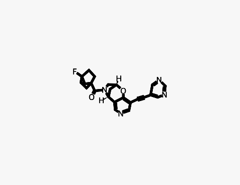 O=C(N1C[C@@H]2C[C@H]1c1cncc(C#Cc3cncnc3)c1O2)C12CCC(F)(CC1)C2